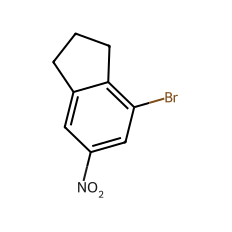 O=[N+]([O-])c1cc(Br)c2c(c1)CCC2